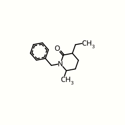 CCC1CCC(C)N(Cc2ccccc2)C1=O